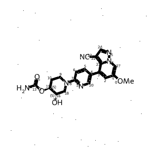 COc1cc(-c2ccc(N3CC[C@H](OC(N)=O)[C@@H](O)C3)nc2)c2c(C#N)cnn2c1